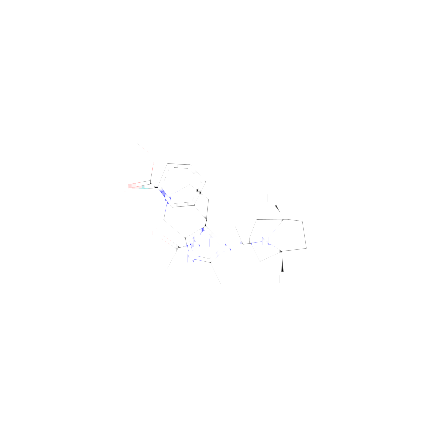 COC(=O)N1CCc2c(nc(C)n2[C@H]2C[C@H]3CC[C@@H](C2)N3CC[C@H](NC(C)=O)c2cccc(F)c2)C1